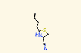 CCCCC1NC(C#N)CS1